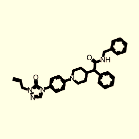 C=CCn1ncn(-c2ccc(N3CCC(C(C(=O)NCc4ccccc4)c4ccccc4)CC3)cc2)c1=O